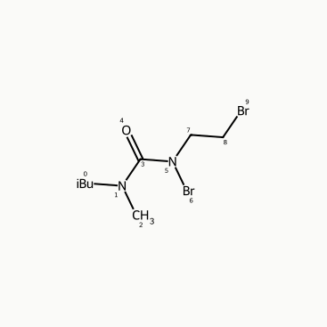 CCC(C)N(C)C(=O)N(Br)CCBr